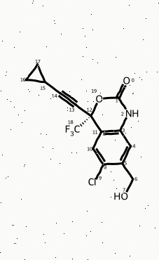 O=C1Nc2cc(CO)c(Cl)cc2[C@](C#CC2CC2)(C(F)(F)F)O1